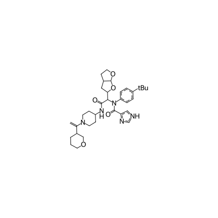 C=C(C1CCCOC1)N1CCC(NC(=O)C(C2CC3CCOC3O2)N(C(=O)c2c[nH]cn2)c2ccc(C(C)(C)C)cc2)CC1